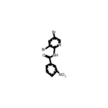 O=C(Nc1ncc(Br)cc1Br)c1cccc([N+](=O)[O-])c1